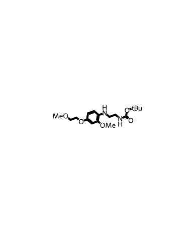 COCCOc1ccc(NCCNC(=O)OC(C)(C)C)c(OC)c1